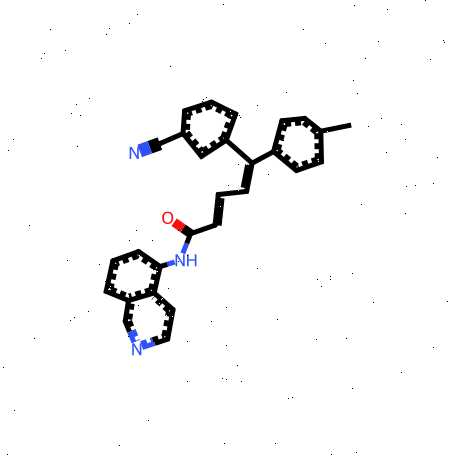 Cc1ccc(C(=CC=CC(=O)Nc2cccc3cnccc23)c2cccc(C#N)c2)cc1